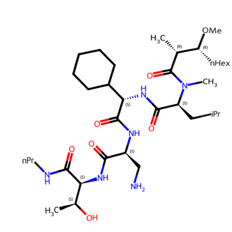 CCCCCC[C@@H](OC)[C@@H](C)C(=O)N(C)[C@@H](CC(C)C)C(=O)N[C@H](C(=O)N[C@@H](CN)C(=O)N[C@H](C(=O)NCCC)[C@H](C)O)C1CCCCC1